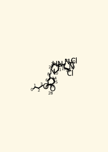 CCCCOc1cc(CN2CCC(Nc3cc(Cl)nc(Cl)n3)CC2)ccc1OC